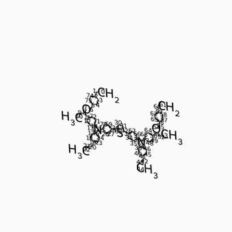 C=Cc1ccc(COC(CC)c2ccc(N(c3ccc(CCC)cc3)c3ccc(-c4ccc(-c5ccc(N(c6ccc(CCC)cc6)c6ccc(C(CC)OCc7ccc(C=C)cc7)cc6)cc5)s4)cc3)cc2)cc1